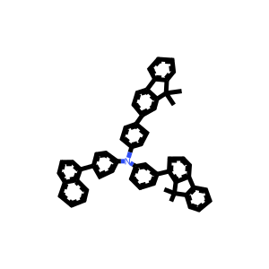 CC1(C)c2ccccc2-c2ccc(-c3ccc(N(c4ccc(-c5cccc6ccccc56)cc4)c4cccc(-c5cccc6c5C(C)(C)c5ccccc5-6)c4)cc3)cc21